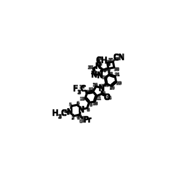 CC(C)[C@H]1CN(C)CCN1Cc1cc2c(c(C(F)(F)F)c1)CN(c1cccc([C@]3(c4nncn4C)C[C@@H](C#N)C3)c1)C2=O